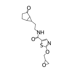 O=C(NCCC1C2CCC(=O)C12)c1cnc(OCC2CO2)s1